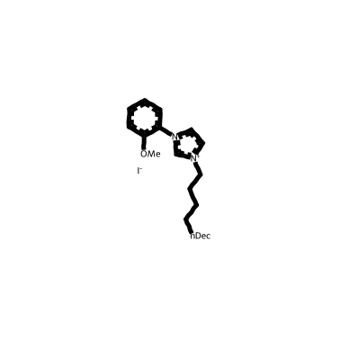 CCCCCCCCCCCCCC[n+]1ccn(-c2ccccc2OC)c1.[I-]